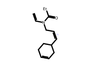 C=CN(C/C=C\C1CC=CCC1)C(=O)CC